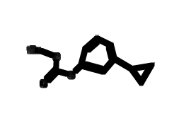 CC(C)(C)OC(=O)Oc1c[c]cc(C2CC2)c1